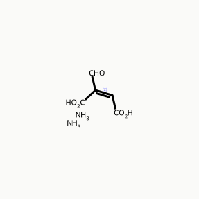 N.N.O=C/C(=C/C(=O)O)C(=O)O